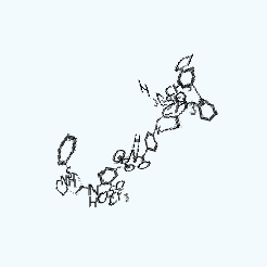 C[Si](C)(C)OC(c1ccccc1-c1ccc(Cl)cc1)C1CCN(c2ccc(C(=O)NS(=O)(=O)c3ccc(N[C@@H](CSc4ccccc4)C[C@@H]4CCCN4)c(S(=O)(=O)C(F)(F)F)c3)cc2)CC1